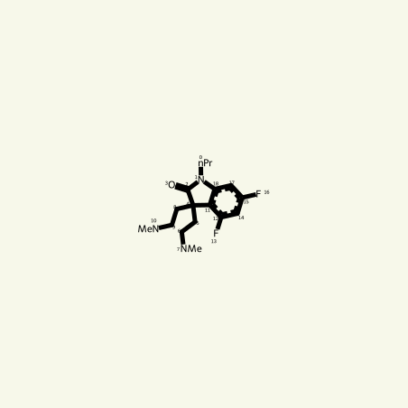 CCCN1C(=O)C(CCNC)(CCNC)c2c(F)cc(F)cc21